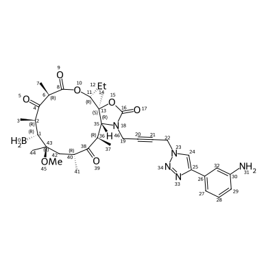 B[C@@H]1[C@@H](C)C(=O)[C@@H](C)C(=O)O[C@H](CC)[C@@]2(C)OC(=O)N(CC#CCn3cc(-c4cccc(N)c4)nn3)[C@@H]2[C@@H](C)C(=O)[C@H](C)C[C@@]1(C)OC